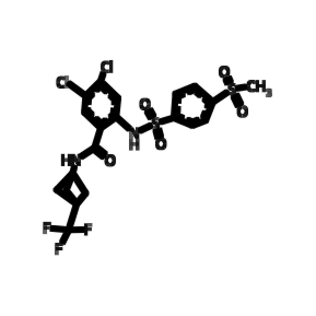 CS(=O)(=O)c1ccc(S(=O)(=O)Nc2cc(Cl)c(Cl)cc2C(=O)NC23CC(C(F)(F)F)(C2)C3)cc1